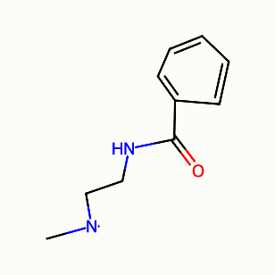 C[N]CCNC(=O)c1ccccc1